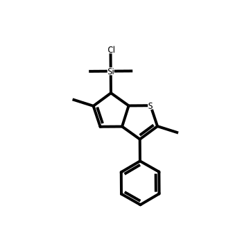 CC1=CC2C(c3ccccc3)=C(C)SC2C1[Si](C)(C)Cl